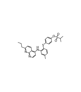 CCCc1ccc2c(Nc3cc(C)ccc3Sc3ccc(OS(=O)(=O)C(C)C)cc3)ccnc2n1